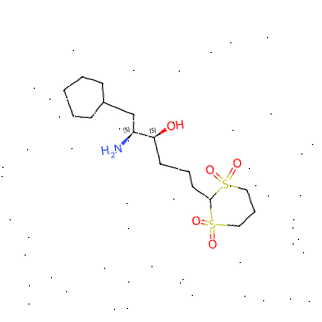 N[C@@H](CC1CCCCC1)[C@@H](O)CCCC1S(=O)(=O)CCCS1(=O)=O